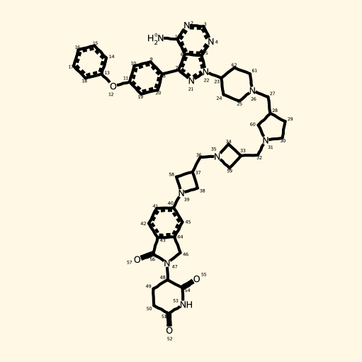 Nc1ncnc2c1c(-c1ccc(Oc3ccccc3)cc1)nn2C1CCN(CC2CCN(CC3CN(CC4CN(c5ccc6c(c5)CN(C5CCC(=O)NC5=O)C6=O)C4)C3)C2)CC1